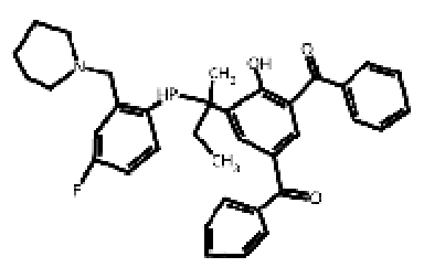 CCC(C)(Pc1ccc(F)cc1CN1CCCCC1)c1cc(C(=O)c2ccccc2)cc(C(=O)c2ccccc2)c1O